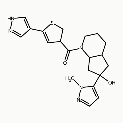 Cn1nccc1C1(O)CC2CCCN(C(=O)C3C=C(c4cn[nH]c4)SC3)C2C1